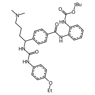 CCOc1ccc(NC(=O)NC(CCCN(C)C)c2ccc(C(=O)Nc3ccccc3NC(=O)OC(C)(C)C)cc2)cc1